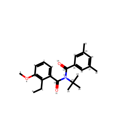 CCc1c(OC)cccc1C(=O)N(C(=O)c1cc(C)cc(C)c1)C(C)(C)C